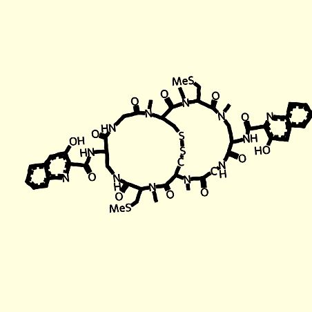 CSCC1C(=O)NCC(NC(=O)c2nc3ccccc3cc2O)C(=O)NCC(=O)N(C)C2CSSCC(C(=O)N1C)N(C)C(=O)CNC(=O)C(NC(=O)c1nc3ccccc3cc1O)CN(C)C(=O)C(CSC)N(C)C2=O